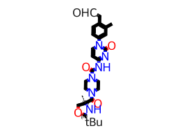 Cc1cc(-n2ccc(NC(=O)N3CCN(C(=O)[C@]4(C)CO[C@H](C(C)(C)C)N4)CC3)nc2=O)ccc1CC=O